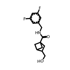 O=C(NCc1cc(F)cc(F)c1)C12CC(CO)C(C1)C2